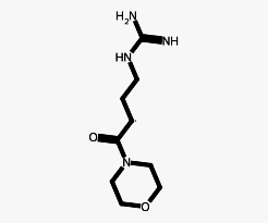 N=C(N)NCC[CH]C(=O)N1CCOCC1